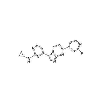 Fc1cc(-c2ccc3c(-c4ccnc(NC5CC5)n4)cnn3n2)ccn1